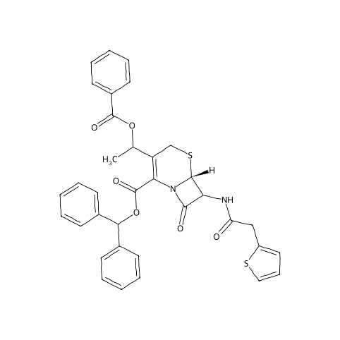 CC(OC(=O)c1ccccc1)C1=C(C(=O)OC(c2ccccc2)c2ccccc2)N2C(=O)C(NC(=O)Cc3cccs3)[C@H]2SC1